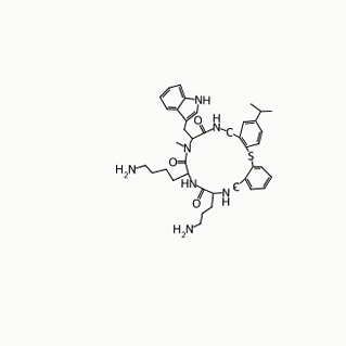 CC(C)c1ccc2c(c1)CNC(=O)C(Cc1c[nH]c3ccccc13)N(C)C(=O)C(CCCCN)NC(=O)C(CCCN)NCc1ccccc1S2